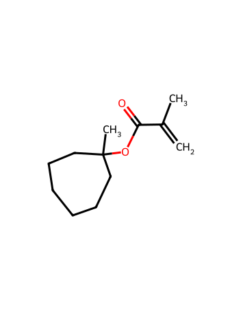 C=C(C)C(=O)OC1(C)CCCCCC1